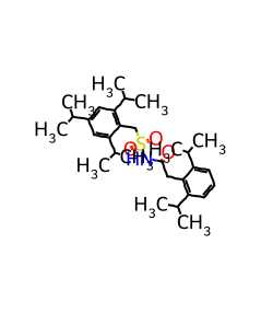 CC(C)c1cc(C(C)C)c(CS(=O)(=O)NC(=O)Cc2c(C(C)C)cccc2C(C)C)c(C(C)C)c1